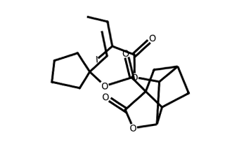 CCC(I)C(=O)OC1C2CC3C1OC(=O)C3(C(=O)OC1(CC)CCCC1)C2